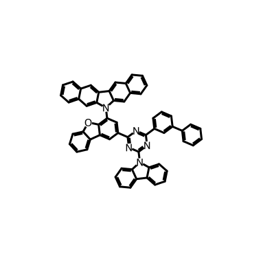 c1ccc(-c2cccc(-c3nc(-c4cc(-n5c6cc7ccccc7cc6c6cc7ccccc7cc65)c5oc6ccccc6c5c4)nc(-n4c5ccccc5c5ccccc54)n3)c2)cc1